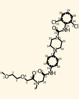 COCCOCC(=O)N(C)CC(=O)Nc1ccc(N2CCN(C(=O)Nc3c(Cl)cccc3Cl)CC2)cc1